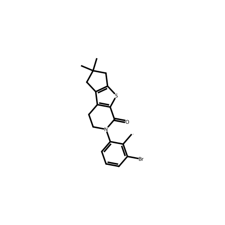 [CH2]c1c(Br)cccc1N1CCc2c(sc3c2CC(C)(C)C3)C1=O